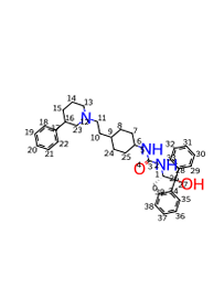 C[C@H](NC(=O)NC1CCC(CCN2CCCC(c3ccccc3)C2)CC1)C(O)(c1ccccc1)c1ccccc1